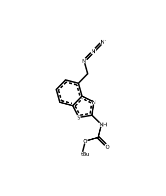 CC(C)(C)OC(=O)Nc1nc2c(CN=[N+]=[N-])cccc2s1